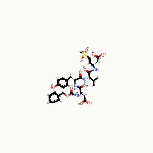 CC(C)[C@H](NC(=O)[C@@H](Cc1ccc(O)cc1)NC(=O)[C@H](CC(=O)O)NC(=O)OCc1ccccc1)C(=O)N[C@H](/C=C/S(C)(=O)=O)CC(=O)O